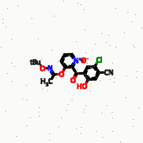 CC(=NOC(C)(C)C)Oc1ccc[n+]([O-])c1C(=O)c1cc(Cl)c(C#N)cc1O